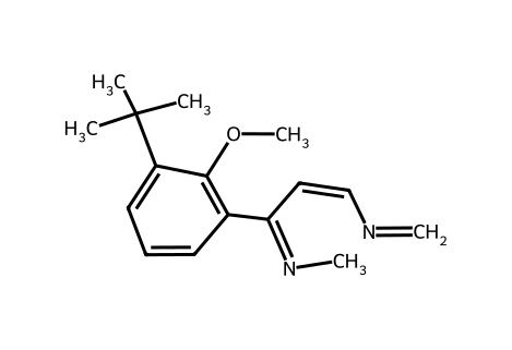 C=N/C=C\C(=N/C)c1cccc(C(C)(C)C)c1OC